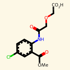 COC(=O)c1cc(Cl)ccc1NC(=O)COCC(=O)O